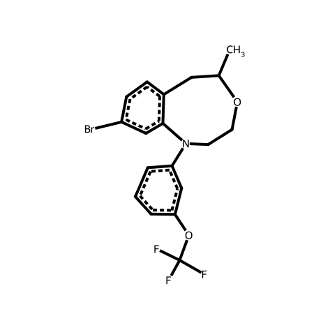 CC1Cc2ccc(Br)cc2N(c2cccc(OC(F)(F)F)c2)CCO1